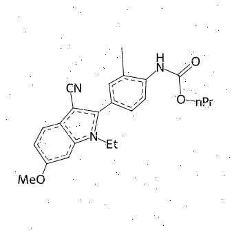 CCCOC(=O)Nc1ccc(-c2c(C#N)c3ccc(OC)cc3n2CC)cc1C